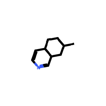 CC1CCC2C=CN=CC2C1